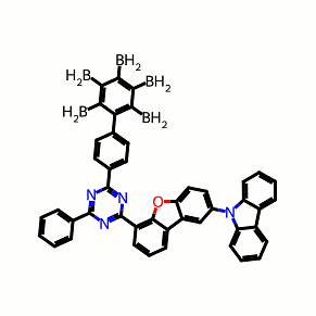 Bc1c(B)c(B)c(-c2ccc(-c3nc(-c4ccccc4)nc(-c4cccc5c4oc4ccc(-n6c7ccccc7c7ccccc76)cc45)n3)cc2)c(B)c1B